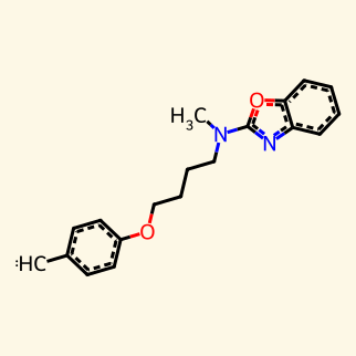 [CH]c1ccc(OCCCCN(C)c2nc3ccccc3o2)cc1